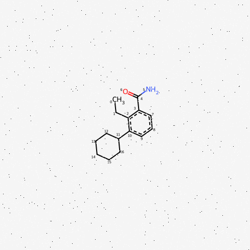 CCc1c(C(N)=O)cccc1C1CCCCC1